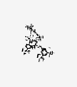 [2H]C([2H])([2H])COC(=O)N1c2ccc(C(F)(F)F)cc2[C@@H](NCc2cc(C(F)(F)F)cc(C(F)(F)F)c2)C[C@H]1CC([2H])([2H])[2H]